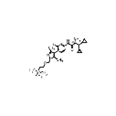 Cc1nn(COCC[Si](C)(C)C)c(C)c1-c1ccc(NC(=O)[C@@H](N)C(C2CC2)C2CC2)nc1F